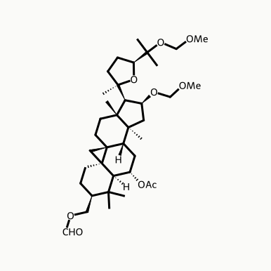 COCO[C@H]1C[C@@]2(C)[C@@H]3C[C@H](OC(C)=O)[C@H]4C(C)(C)[C@@H](COC=O)CC[C@@]45C[C@@]35CC[C@]2(C)[C@H]1[C@@]1(C)CC[C@@H](C(C)(C)OCOC)O1